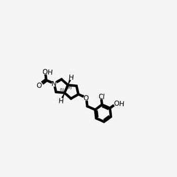 O=C(O)N1C[C@H]2CC(OCc3cccc(O)c3Cl)C[C@H]2C1